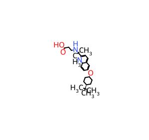 CC(C)(NCCC(=O)O)c1ccc2cc(O[C@H]3CC[C@H](C(C)(C)C)CC3)ccc2n1